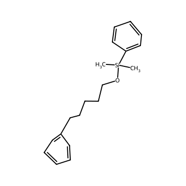 C[Si](C)(OCCCCCc1ccccc1)c1ccccc1